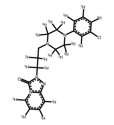 [2H]c1c([2H])c(Cl)c([2H])c(N2C([2H])([2H])C([2H])([2H])N(CC([2H])([2H])C([2H])([2H])n3nc4c([2H])c([2H])c([2H])c([2H])n4c3=O)C([2H])([2H])C2([2H])[2H])c1[2H]